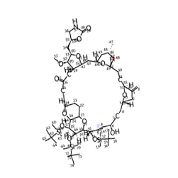 C=C1C[C@@H]2CCC(O)/C=C/[C@H](O[Si](C)(C)C(C)(C)C)[C@@H]3OC4CC[C@H](CC(=O)C[C@@H]5[C@@H](OC)[C@@H](C[C@H]6CNC(=O)O6)O[C@H]5C[C@@H]5C[C@H](C)C[C@H](CC[C@@H]1O2)O5)O[C@@H]4[C@H](O[Si](C)(C)C(C)(C)C)[C@@H]3O[Si](C)(C)C(C)(C)C